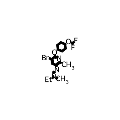 CCN(C)C=Nc1cc(Br)c(OC2CCC(OC(F)F)CC2)nc1C